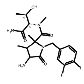 CC1C(N)C(=O)N(Cc2ccc(F)c(F)c2)C1(C)C(=O)N(C)[C@H](C(N)=O)[C@@H](C)O